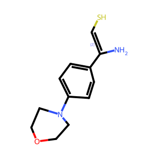 N/C(=C\S)c1ccc(N2CCOCC2)cc1